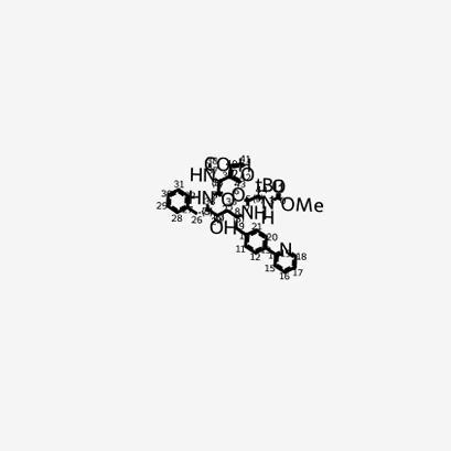 COC(=O)N[C@H](C(=O)N[C@@H](Cc1ccc(-c2ccccn2)cc1)C[C@H](O)[C@H](Cc1ccccc1)NC(=O)[C@@H](NC(=O)O)c1ccoc1)C(C)(C)C